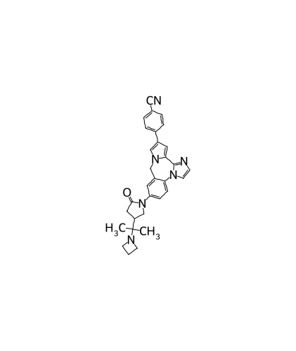 CC(C)(C1CC(=O)N(c2ccc3c(c2)Cn2cc(-c4ccc(C#N)cc4)cc2-c2nccn2-3)C1)N1CCC1